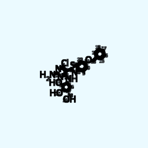 Nc1nc(Cl)c(-c2nc3ccc(OCc4ccccc4)cc3s2)c(N[C@@H]2C[C@H](CO)[C@@H](O)[C@H]2O)n1